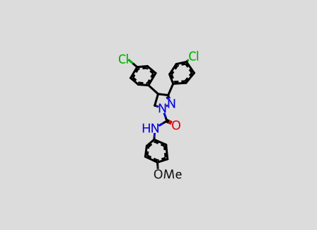 COc1ccc(NC(=O)N2CC(c3ccc(Cl)cc3)C(c3ccc(Cl)cc3)=N2)cc1